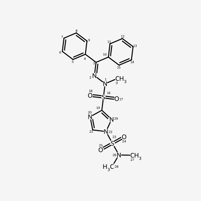 CN(N=C(c1ccccc1)c1ccccc1)S(=O)(=O)c1ncn(S(=O)(=O)N(C)C)n1